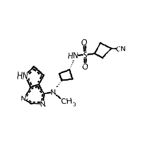 CN(c1ncnc2[nH]ccc12)[C@H]1C[C@@H](NS(=O)(=O)C2CC(C#N)C2)C1